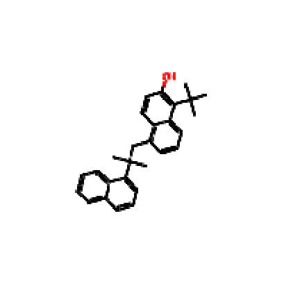 CC(C)(C)c1c(O)ccc2c(CC(C)(C)c3cccc4ccccc34)cccc12